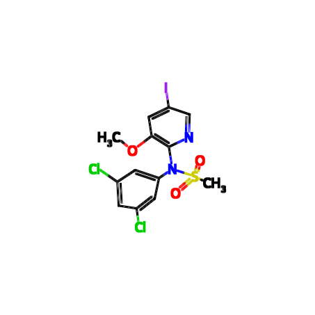 COc1cc(I)cnc1N(c1cc(Cl)cc(Cl)c1)S(C)(=O)=O